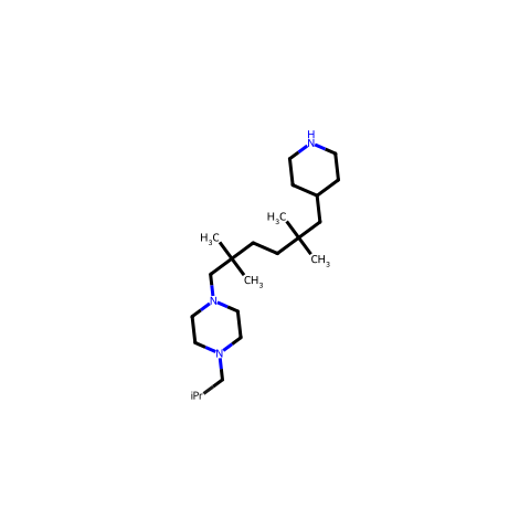 CC(C)CN1CCN(CC(C)(C)CCC(C)(C)CC2CCNCC2)CC1